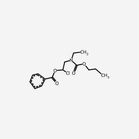 CCCOC(=O)N(CC)CC(Cl)OC(=O)c1ccccc1